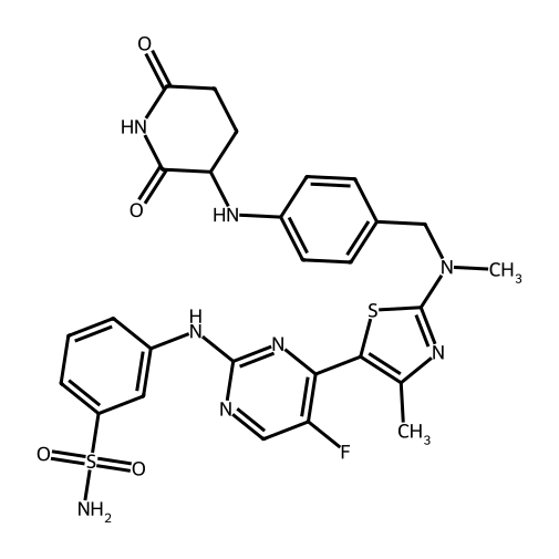 Cc1nc(N(C)Cc2ccc(NC3CCC(=O)NC3=O)cc2)sc1-c1nc(Nc2cccc(S(N)(=O)=O)c2)ncc1F